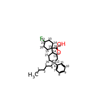 CCCCC[Si]1(c2ccccc2)CCC(C2(C(=O)O)CCC(F)CC2)CC1